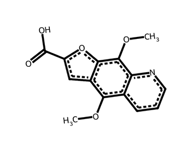 COc1c2cccnc2c(OC)c2oc(C(=O)O)cc12